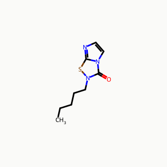 CCCCCn1sc2nccn2c1=O